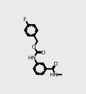 CNC(=O)c1cccc(NC(=O)OCc2ccc(F)cc2)c1